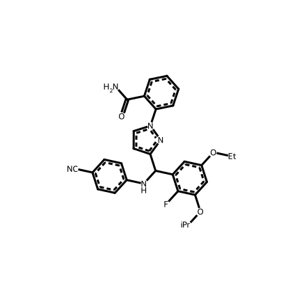 CCOc1cc(OC(C)C)c(F)c(C(Nc2ccc(C#N)cc2)c2ccn(-c3ccccc3C(N)=O)n2)c1